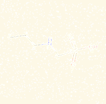 [CH2]CCNCS(=O)(=O)O